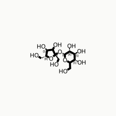 OCC1O[C@H](O[C@]2(CO)O[C@H](CO)[C@@H](O)C2O)[C@H](O)[C@@H](O)[C@@H]1O